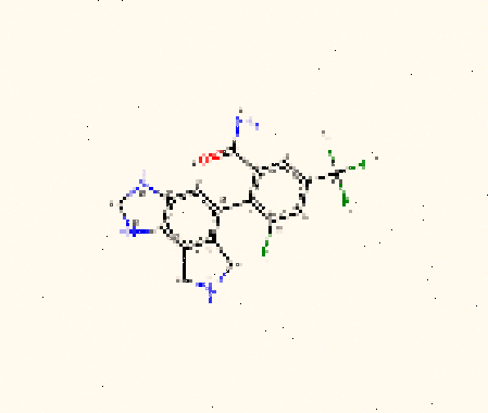 NC(=O)c1cc(C(F)(F)F)cc(F)c1-c1cc2c(c3c1CNC3)NCN2